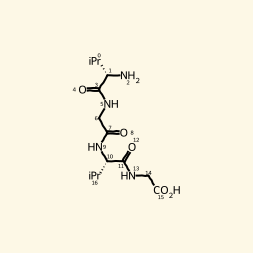 CC(C)[C@H](N)C(=O)NCC(=O)N[C@H](C(=O)NCC(=O)O)C(C)C